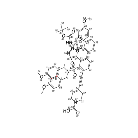 COc1ccc(CN(Cc2ccc(OC)cc2)S(=O)(=O)c2c(C#CC3=CCN(C(=O)O)CC3)ccc(-c3cccc4sc(NC(=O)OC(C)(C)C)nc34)c2-c2nnnn2Cc2ccc(OC)cc2)cc1